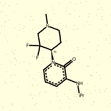 CC(C)Nc1cccn([C@@H]2CCN(C)CC2(F)F)c1=O